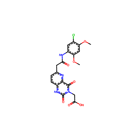 COc1cc(OC)c(NC(=O)Cc2ccc3[nH]c(=O)n(CC(=O)O)c(=O)c3n2)cc1Cl